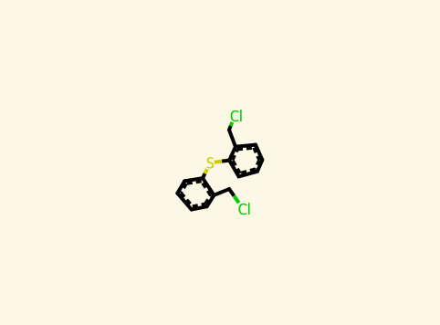 ClCc1ccccc1Sc1ccccc1CCl